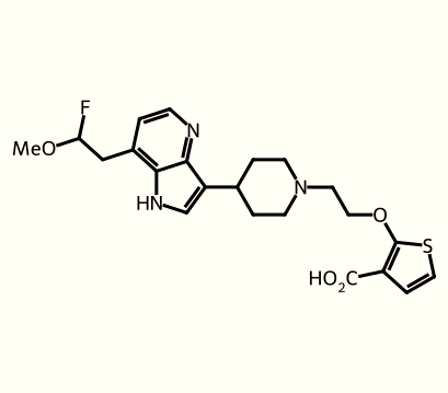 COC(F)Cc1ccnc2c(C3CCN(CCOc4sccc4C(=O)O)CC3)c[nH]c12